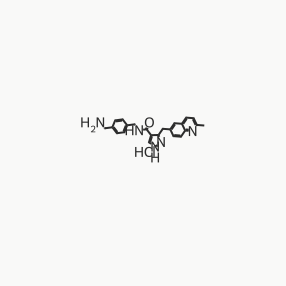 Cc1ccc2cc(Cc3n[nH]cc3C(=O)NCc3ccc(CN)cc3)ccc2n1.Cl